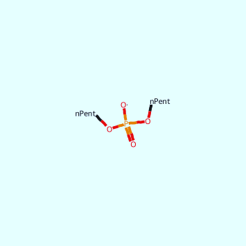 CCCCCOP([O])(=O)OCCCCC